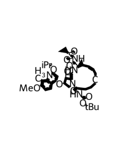 COc1ccc2c(O[C@@H]3C[C@H]4C(=O)N[C@]5(C(=O)NS(=O)(=O)C6CC6)CC5/C=C\CCCCC[C@H](NC(=O)OC(C)(C)C)C(=O)N4C3)cc(OC(C)C)nc2c1C